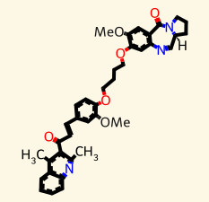 COc1cc(/C=C/C(=O)c2c(C)nc3ccccc3c2C)ccc1OCCCCOc1cc2c(cc1OC)C(=O)N1CCC[C@H]1C=N2